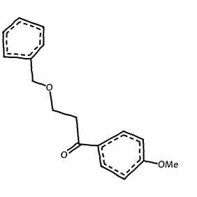 COc1ccc(C(=O)CCOCc2ccccc2)cc1